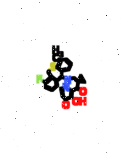 Cc1cccc2c1SCc1c(F)cccc1C2N1CC2(CC2)C(=O)c2c(O)c(=O)ccn21